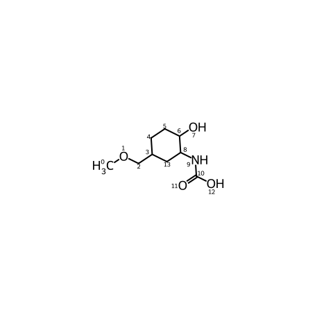 COCC1CCC(O)C(NC(=O)O)C1